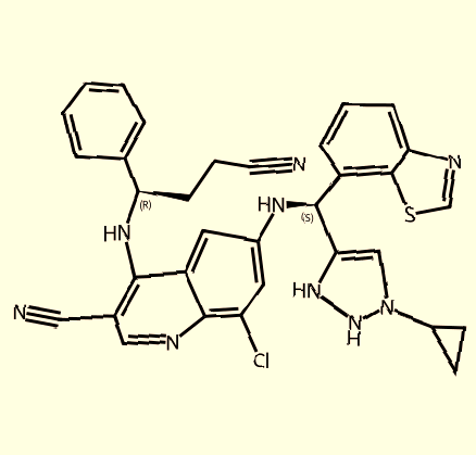 N#CCC[C@@H](Nc1c(C#N)cnc2c(Cl)cc(N[C@H](C3=CN(C4CC4)NN3)c3cccc4ncsc34)cc12)c1ccccc1